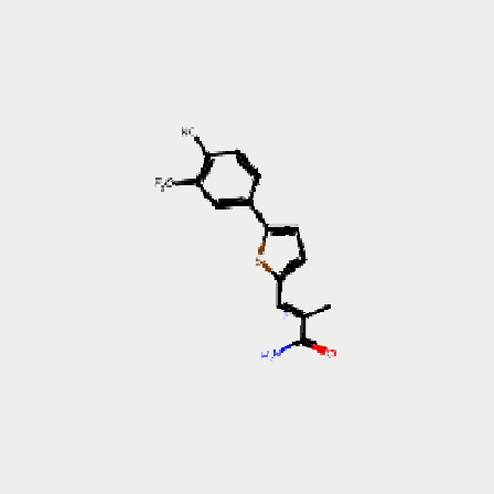 C/C(=C\c1ccc(-c2ccc(C#N)c(C(F)(F)F)c2)s1)C(N)=O